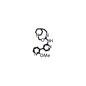 COc1ncccc1-c1ccnc(N/C2=N/CCC3CCN(CC3)CO2)c1